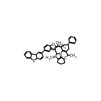 CC(C)C1=C(N2C3=C(CCCC3)N(C)C2C2C(C)OC3C=CC(C4=CC5c6ccccc6SC5C=C4)=CC32)C(C(C)C)CC(c2ccccc2)C1